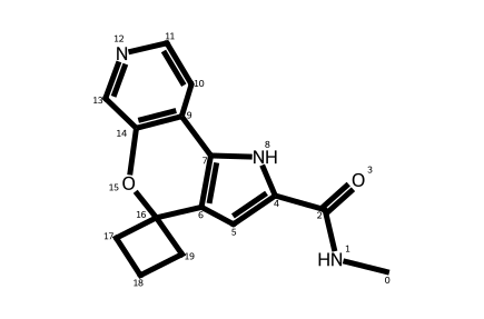 CNC(=O)c1cc2c([nH]1)-c1ccncc1OC21CCC1